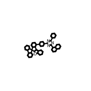 c1ccc(-c2nc(-c3ccc(-c4cccc5c4-c4c(oc6ccccc46)C54c5ccccc5-c5ccccc54)cc3)nc(-c3cccc4ccccc34)n2)cc1